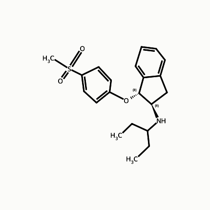 CCC(CC)N[C@@H]1Cc2ccccc2[C@H]1Oc1ccc(S(C)(=O)=O)cc1